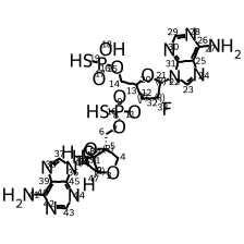 C[C@H]1[C@H]2OC[C@]1(COP(=O)(S)O[C@@H]1C(COP(=O)(O)S)O[C@@H](n3cnc4c(N)ncnc43)[C@@H]1F)O[C@H]2n1cnc2c(N)ncnc21